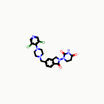 O=C1CCN(N2Cc3cc(CN4CCN(c5c(Cl)cncc5Cl)CC4)ccc3C2=O)C(=O)N1